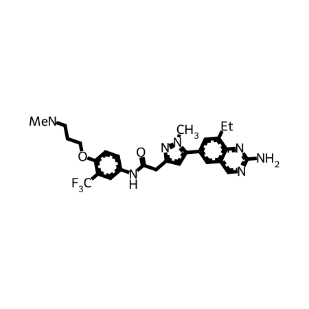 CCc1cc(-c2cc(CC(=O)Nc3ccc(OCCCNC)c(C(F)(F)F)c3)nn2C)cc2cnc(N)nc12